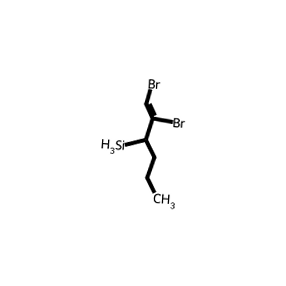 CCCC([SiH3])C(Br)=CBr